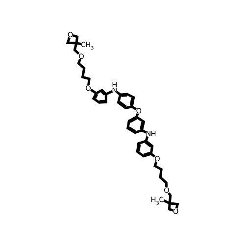 CC1(COCCCCOc2cccc(Nc3ccc(Oc4cccc(Nc5cccc(OCCCCOCC6(C)COC6)c5)c4)cc3)c2)COC1